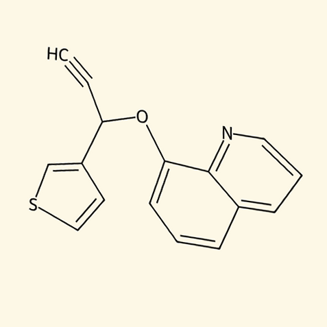 C#CC(Oc1cccc2cccnc12)c1ccsc1